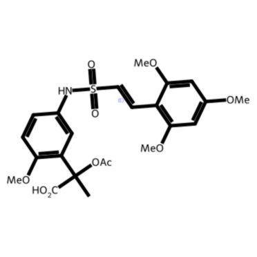 COc1cc(OC)c(/C=C/S(=O)(=O)Nc2ccc(OC)c(C(C)(OC(C)=O)C(=O)O)c2)c(OC)c1